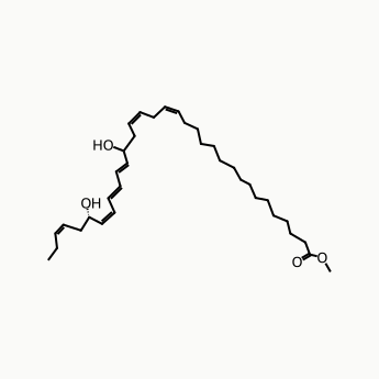 CC/C=C\C[C@H](O)\C=C/C=C/C=C/C(O)C/C=C\C/C=C\CCCCCCCCCCCCCCC(=O)OC